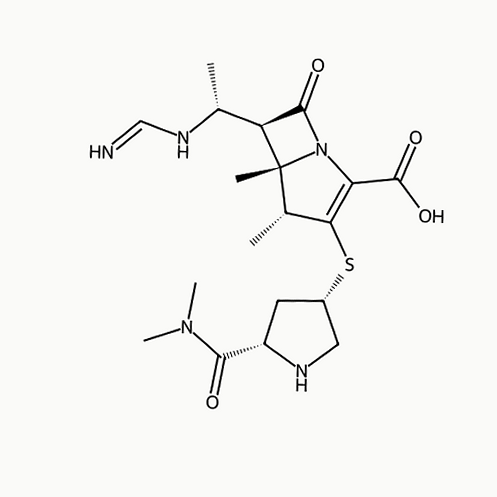 C[C@@H](NC=N)[C@H]1C(=O)N2C(C(=O)O)=C(S[C@@H]3CN[C@H](C(=O)N(C)C)C3)[C@H](C)[C@]12C